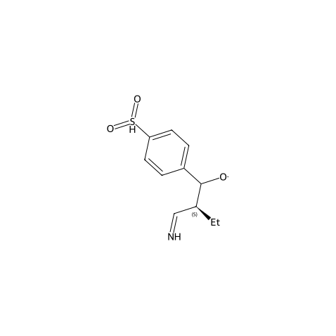 CC[C@@H](C=N)C([O])c1ccc([SH](=O)=O)cc1